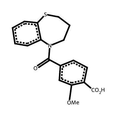 COc1cc(C(=O)N2CCCSc3ccccc32)ccc1C(=O)O